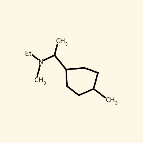 CCN(C)C(C)C1CCC(C)CC1